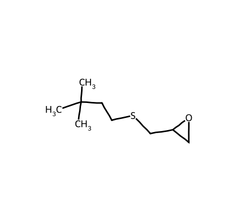 CC(C)(C)CCSCC1CO1